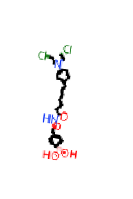 O=C(CCCCCCc1ccc(N(CCCl)CCCl)cc1)NOCc1ccc(B(O)O)cc1